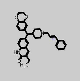 CCc1cc2cc(C(c3ccc4c(c3)OCCO4)C3CCN(C/C=C/c4ccccc4)CC3)ccc2[nH]c1=O